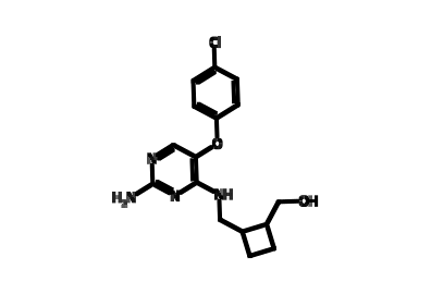 Nc1ncc(Oc2ccc(Cl)cc2)c(NCC2CCC2CO)n1